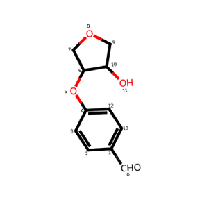 O=Cc1ccc(OC2COCC2O)cc1